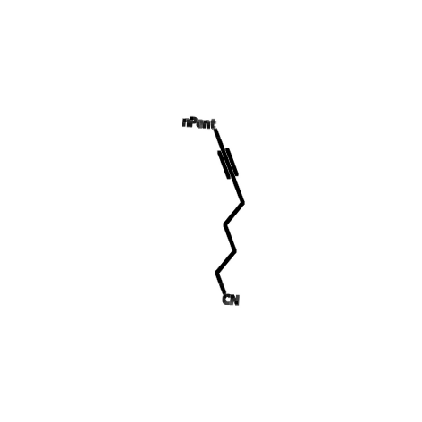 CCCCCC#CCCCCC#N